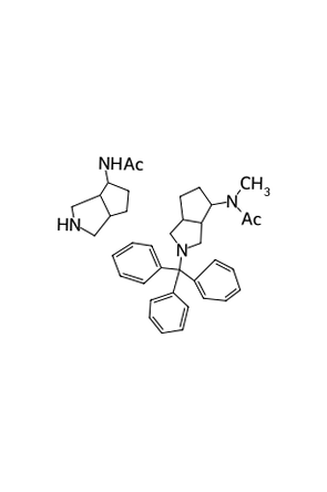 CC(=O)N(C)C1CCC2CN(C(c3ccccc3)(c3ccccc3)c3ccccc3)CC21.CC(=O)NC1CCC2CNCC21